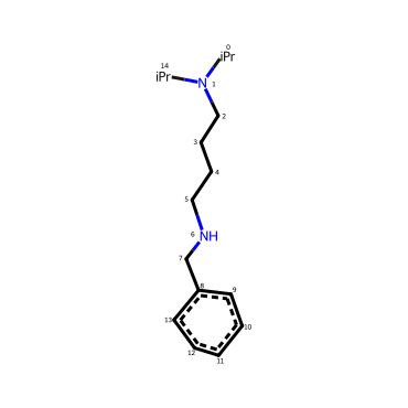 CC(C)N(CCCCNCc1ccccc1)C(C)C